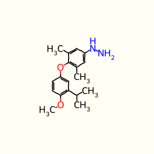 COc1ccc(Oc2c(C)cc(NN)cc2C)cc1C(C)C